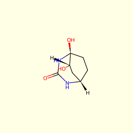 O=C1N[C@H]2CC[C@@](O)(N1)[C@@H](O)C2